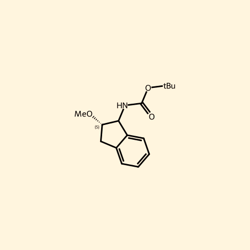 CO[C@H]1Cc2ccccc2C1NC(=O)OC(C)(C)C